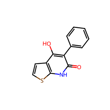 O=c1[nH]c2sccc2c(O)c1-c1ccccc1